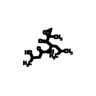 CC(C)CC(NC(=O)CC(C)O)C(=O)C1(C)CO1